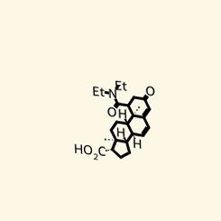 CCN(CC)C(=O)C1CC(=O)C=C2C=C[C@H]3[C@@H]4CC[C@H](C(=O)O)[C@@]4(C)CC[C@@H]3[C@]21C